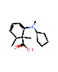 CC1C=CC=C(N(C)C2CCCC2)C1(C)C(=O)O